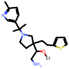 CCOC(CN)C1(CCc2cccs2)CCN(C(C)(C)c2ccc(C)nc2)C1